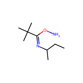 CCC(C)/N=C(\ON)C(C)(C)C